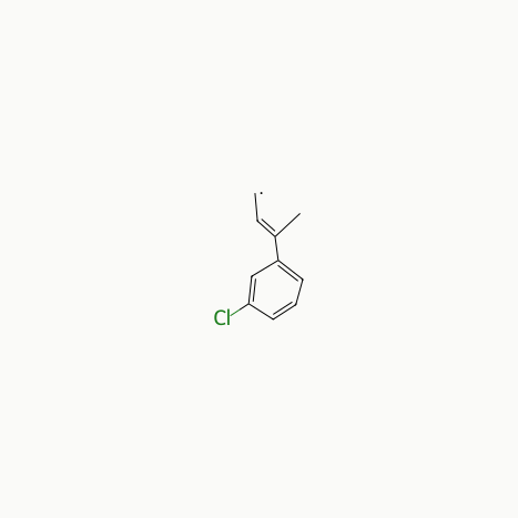 [CH2]C=C(C)c1cccc(Cl)c1